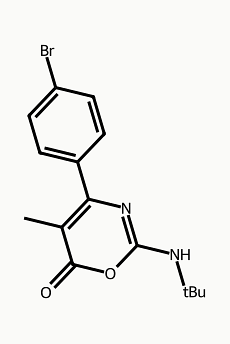 Cc1c(-c2ccc(Br)cc2)nc(NC(C)(C)C)oc1=O